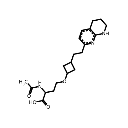 CC(=O)NC(CCOC1CC(CCc2ccc3c(n2)NCCC3)C1)C(=O)O